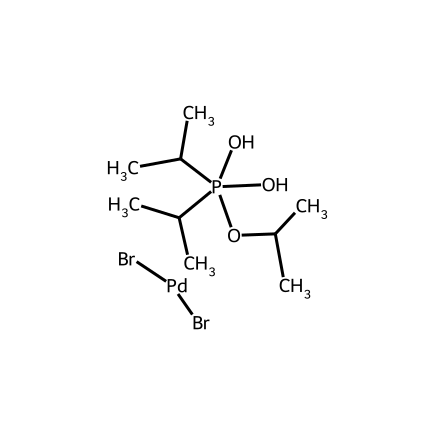 CC(C)OP(O)(O)(C(C)C)C(C)C.[Br][Pd][Br]